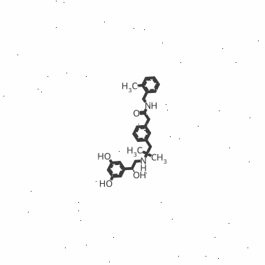 Cc1ccccc1CNC(=O)Cc1cccc(CC(C)(C)NC[C@H](O)c2cc(O)cc(O)c2)c1